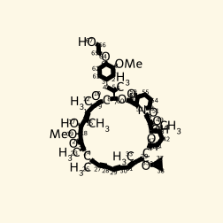 CO[C@@H]1C[C@H](CC(C)[C@@H]2CC(=O)[C@H](C)/C=C(\C)[C@@H](O)[C@@H](OC)C(=O)[C@H](C)C[C@H](C)/C=C/C=C/C=C(\C)[C@H](OC3CC3)C[C@@H]3CC[C@@H](C)[C@@](O)(O3)C(=O)C(=O)N3CCCC[C@H]3C(=O)O2)CC[C@H]1OCCO